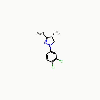 CNC1=NN(c2ccc(Cl)c(Cl)c2)C[C@H]1C